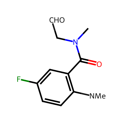 CNc1ccc(F)cc1C(=O)N(C)CC=O